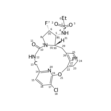 CCS(=O)(=O)N[C@H]1[C@@H](F)CN2C(=O)NCc3ccc(Cl)c(n3)Oc3cccc(c3F)C[C@@H]12